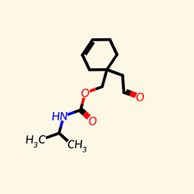 CC(C)NC(=O)OCC1(CC=O)CC=CCC1